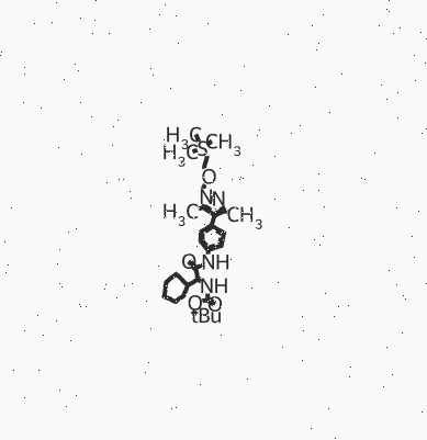 Cc1nn(COCCS(C)(C)C)c(C)c1-c1ccc(NC(=O)C(NC(=O)OC(C)(C)C)C2CCCCC2)cc1